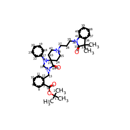 CC(C)(C)OC(=O)c1ccccc1CN1CN(c2ccccc2)C2(CCN(CCCN3C(=O)C(C)(C)c4ccccc43)CC2)C1=O